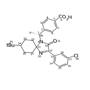 C[C@H](c1ccc(C(=O)O)cc1)N1C(=O)C(c2cccc(Cl)c2)=NC12CCC(C(C)(C)C)CC2